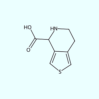 O=C(O)C1NCCc2cscc21